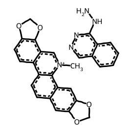 C[n+]1cc2c3c(ccc2c2ccc4cc5c(cc4c21)OCO5)OCO3.NNc1nncc2ccccc12